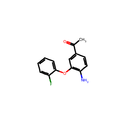 CC(=O)c1ccc(N)c(Oc2ccccc2F)c1